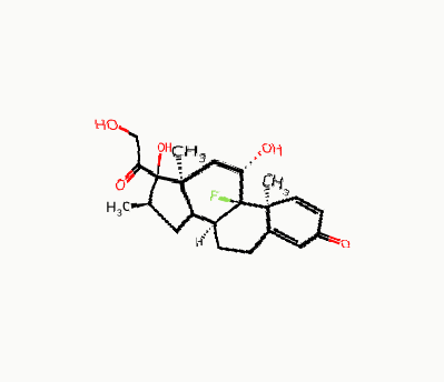 C[C@@H]1CC2[C@@H]3CCC4=CC(=O)C=C[C@]4(C)[C@@]3(F)[C@@H](O)C[C@]2(C)[C@@]1(O)C(=O)CO